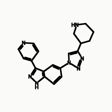 c1cc(-c2n[nH]c3ccc(-n4cc(C5CCCNC5)nn4)cc23)ccn1